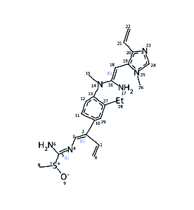 C=C/C(=C\N=C(/N)[S+](C)[O-])c1ccc(N(C)/C(N)=C/c2c(C=C)ncn2C)c(CC)c1